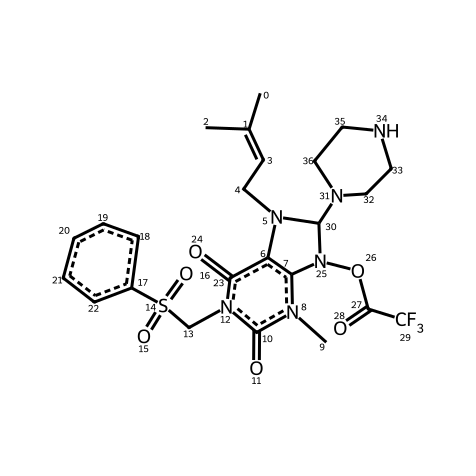 CC(C)=CCN1c2c(n(C)c(=O)n(CS(=O)(=O)c3ccccc3)c2=O)N(OC(=O)C(F)(F)F)C1N1CCNCC1